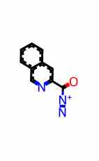 N#[N+]C(=O)c1cc2ccccc2cn1